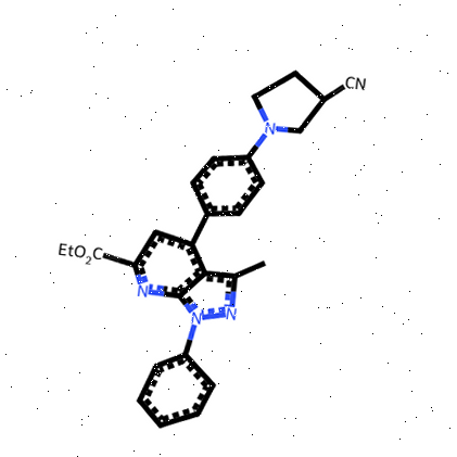 CCOC(=O)c1cc(-c2ccc(N3CCC(C#N)C3)cc2)c2c(C)nn(-c3ccccc3)c2n1